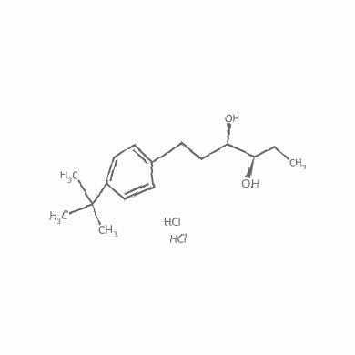 CC[C@@H](O)[C@H](O)CCc1ccc(C(C)(C)C)cc1.Cl.Cl